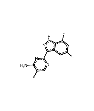 Nc1nc(-c2n[nH]c3c(F)cc(F)cc23)ncc1F